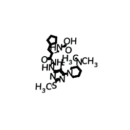 CSc1nc(NNC(=O)[C@@H](CNC(=O)O)CC2CCCC2)c(F)c(N2CCC[C@@H](N(C)C)C2)n1